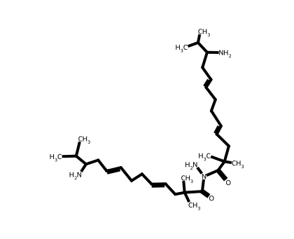 CC(C)C(N)CC=CCCC=CCC(C)(C)C(=O)N(N)C(=O)C(C)(C)CC=CCCC=CCC(N)C(C)C